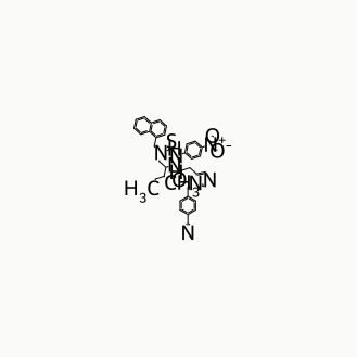 CCC(C)C(CN(Cc1cccc2ccccc12)C(=S)Nc1ccc([N+](=O)[O-])cc1)NC(=O)Cc1cncn1Cc1ccc(C#N)cc1